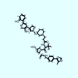 Cc1ncsc1-c1ccc(CNC(=O)[C@@H]2C[C@@H](O)CN2C(=O)[C@@H](NC(=O)CCN2CCC[C@@H](Cn3cc(-c4cc(-c5ccccc5O)nnc4N)cn3)C2)C(C)(C)C)cc1